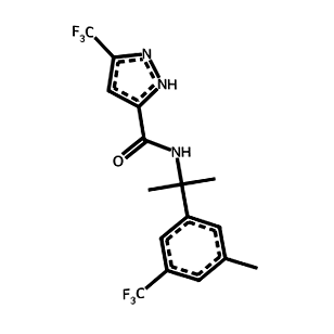 Cc1cc(C(F)(F)F)cc(C(C)(C)NC(=O)c2cc(C(F)(F)F)n[nH]2)c1